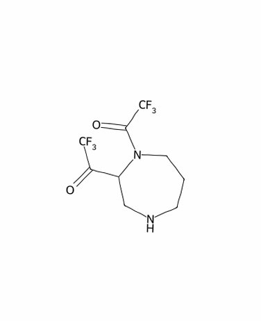 O=C(C1CNCCCN1C(=O)C(F)(F)F)C(F)(F)F